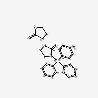 O=C1OCC[C@@H]1N1CC[C@H]([P+](c2ccccc2)(c2ccccc2)c2ccccc2)C1=O.[Br-]